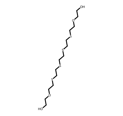 OCCOCCSCCSCCSCCSCCOCCO